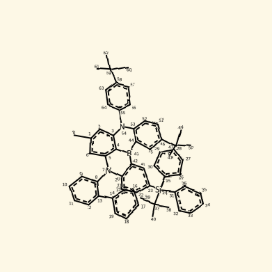 Cc1cc2c3c(c1)N(c1ccccc1-c1ccccc1)c1ccc([Si](c4ccccc4)(c4ccccc4)C(C)(C)C)cc1B3c1cc(C(C)(C)C)ccc1N2c1ccc(C(C)(C)C)cc1